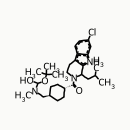 CC(C)CC1c2[nH]c3cc(Cl)ccc3c2CCN1C(=O)[C@H]1CC[C@H](CN(C)C(O)OC(C)(C)C)CC1